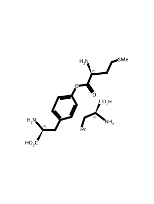 CC(C)C[C@H](N)C(=O)O.CSCC[C@H](N)C(=O)Oc1ccc(C[C@H](N)C(=O)O)cc1